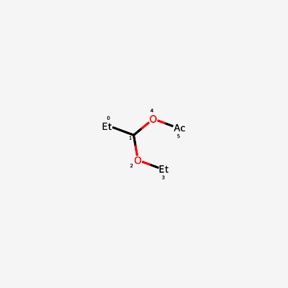 [CH2]CC(OCC)OC(C)=O